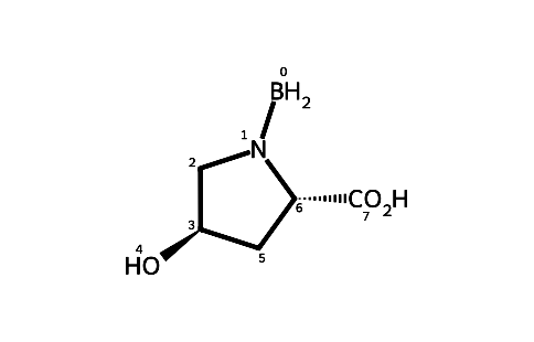 BN1C[C@H](O)C[C@H]1C(=O)O